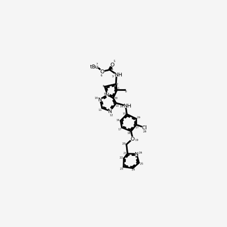 Cc1c(NC(=O)OC(C)(C)C)cn2ncnc(Nc3ccc(OCc4ccccn4)c(Cl)c3)c12